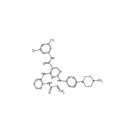 C=CC(=O)Nc1ccccc1Nc1nc(Nc2ccc(N3CCN(C)CC3)cc2)ncc1C(=O)Nc1cc(C)cc(Cl)c1